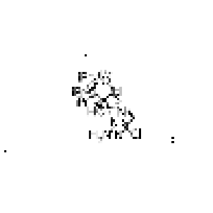 CC(C)[Si]1(C(C)C)OC[C@H]2S[C@@H](n3ccc4c(Cl)nc(N)nc43)[C@@](C)(O)[C@@H]2O[Si](C(C)C)(C(C)C)O1